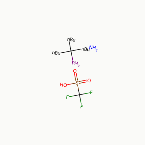 CCCCC(P)(CCCC)CCCC.N.O=S(=O)(O)C(F)(F)F